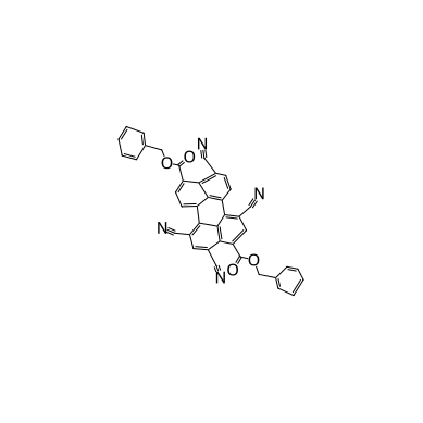 N#Cc1ccc2c3c(C#N)cc(C(=O)OCc4ccccc4)c4c(C#N)cc(C#N)c(c5ccc(C(=O)OCc6ccccc6)c1c52)c43